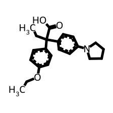 CCOc1ccc(C(CC)(C(=O)O)c2ccc(N3CCCC3)cc2)cc1